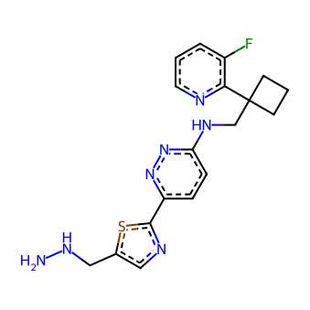 NNCc1cnc(-c2ccc(NCC3(c4ncccc4F)CCC3)nn2)s1